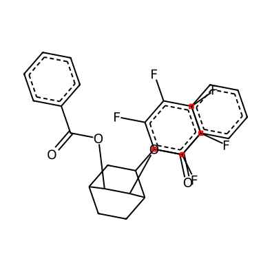 O=C(OC1C2CCC(C(c3c(F)c(F)c(F)c(F)c3F)C2)C1OC(=O)c1ccccc1)c1ccccc1